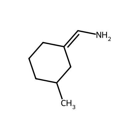 CC1CCCC(=CN)C1